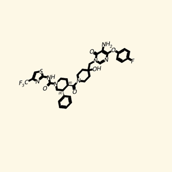 Nc1c(Oc2ccc(F)cc2)ncn(CC2(O)CCN(C(=O)[C@@H]3CCN(C(=O)Nc4nc(C(F)(F)F)cs4)C[C@H]3c3ccccc3)CC2)c1=O